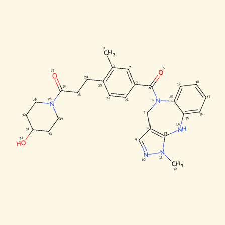 Cc1cc(C(=O)N2Cc3cnn(C)c3Nc3ccccc32)ccc1CCC(=O)N1CCC(O)CC1